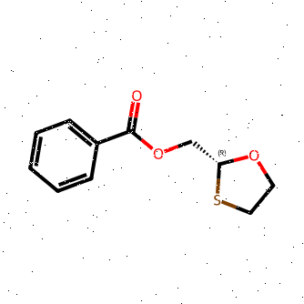 O=C(OC[C@@H]1OCCS1)c1ccccc1